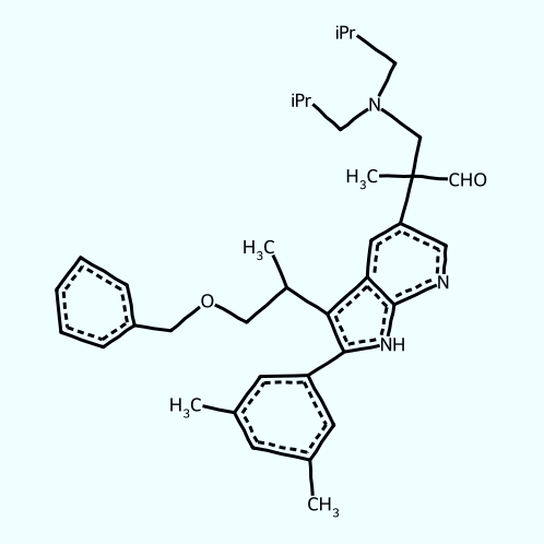 Cc1cc(C)cc(-c2[nH]c3ncc(C(C)(C=O)CN(CC(C)C)CC(C)C)cc3c2C(C)COCc2ccccc2)c1